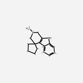 CN1Cc2[nH]c3cncnc3c2C2(CCCC2)C1